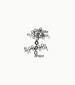 C=C(C)C(=O)OCC(COC(=O)C(=C)CC(=O)OC)(COC(=O)C(=C)CC(=O)OC)COc1ccc(-c2cc(OC(=O)C(=C)C)c(C3CCC(CCCCC)CC3)cc2OC(=O)C(=C)C)cc1